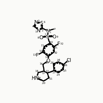 CN(c1ncns1)S(=O)(=O)c1cc(F)c(OCC2CNCCC2c2ccc(Cl)cc2)cc1F